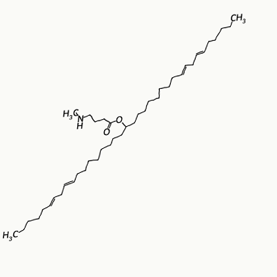 CCCCCC=CCC=CCCCCCCCCC(CCCCCCCCC=CCC=CCCCCC)OC(=O)CCCNC